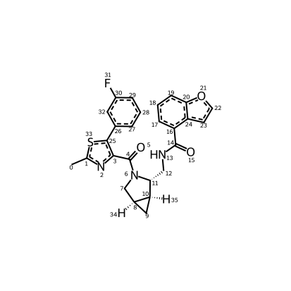 Cc1nc(C(=O)N2C[C@@H]3C[C@@H]3[C@H]2CNC(=O)c2cccc3occc23)c(-c2cccc(F)c2)s1